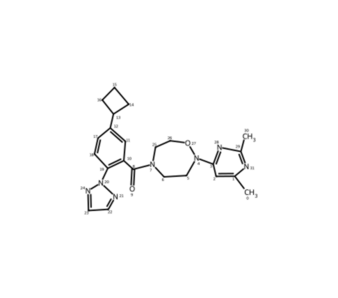 Cc1cc(N2CCN(C(=O)c3cc(C4CCC4)ccc3-n3nccn3)CCO2)nc(C)n1